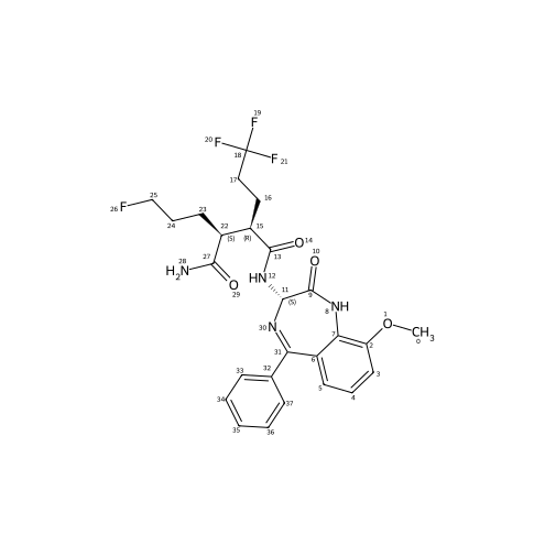 COc1cccc2c1NC(=O)[C@@H](NC(=O)[C@H](CCC(F)(F)F)[C@H](CCCF)C(N)=O)N=C2c1ccccc1